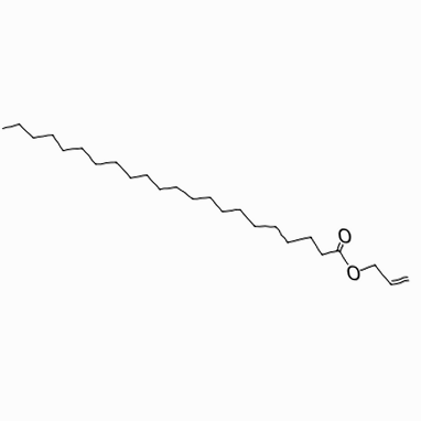 C=CCOC(=O)CCCCCCCCCCCCCCCCCCCCC